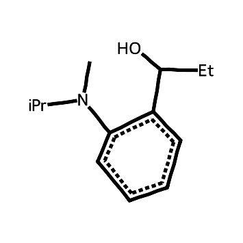 CCC(O)c1ccccc1N(C)C(C)C